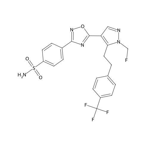 NS(=O)(=O)c1ccc(-c2noc(-c3cnn(CF)c3CCc3ccc(C(F)(F)F)cc3)n2)cc1